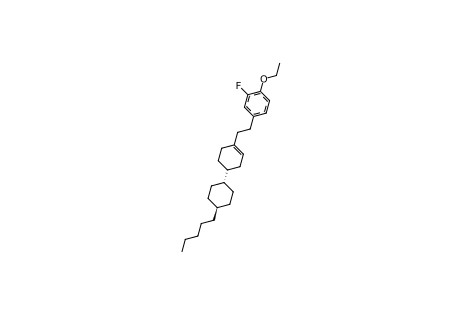 CCCCC[C@H]1CC[C@H](C2CC=C(CCc3ccc(OCC)c(F)c3)CC2)CC1